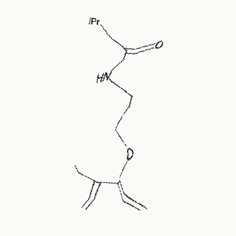 C=C(C)C(=C)OCCNC(=O)C(C)C